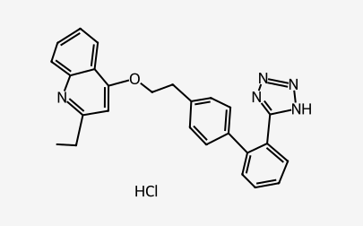 CCc1cc(OCCc2ccc(-c3ccccc3-c3nnn[nH]3)cc2)c2ccccc2n1.Cl